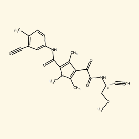 C#C[C@H](COC)NC(=O)C(=O)c1c(C)c(C(=O)Nc2ccc(C)c(C#N)c2)n(C)c1C